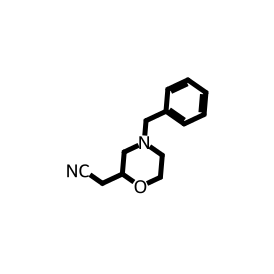 N#CCC1CN(Cc2ccccc2)CCO1